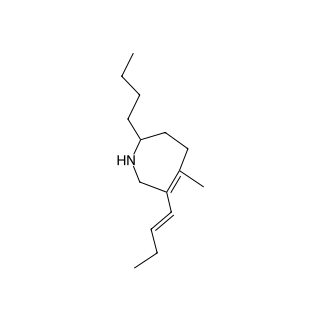 CC/C=C/C1=C(C)CCC(CCCC)NC1